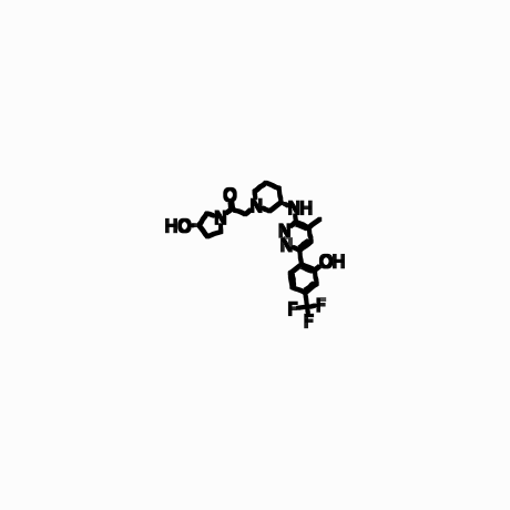 Cc1cc(-c2ccc(C(F)(F)F)cc2O)nnc1N[C@@H]1CCCN(CC(=O)N2CC[C@@H](O)C2)C1